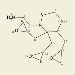 NCCN1CCNC(CC2CO2)C1(CC1CO1)CC1CO1